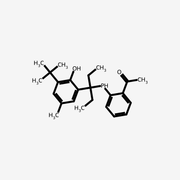 CCC(CC)(Pc1ccccc1C(C)=O)c1cc(C)cc(C(C)(C)C)c1O